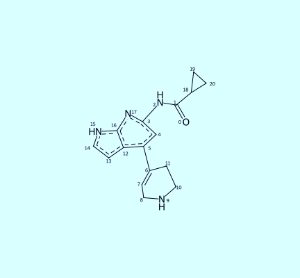 O=C(Nc1cc(C2=CCNCC2)c2cc[nH]c2n1)C1CC1